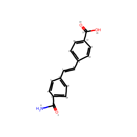 NC(=O)c1ccc(C=Cc2ccc(C(=O)O)cc2)cc1